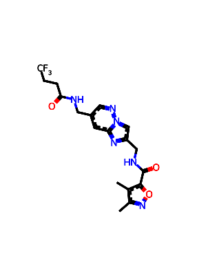 Cc1noc(C(=O)NCc2cn3ncc(CNC(=O)CCC(F)(F)F)cc3n2)c1C